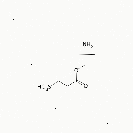 CC(C)(N)COC(=O)CCS(=O)(=O)O